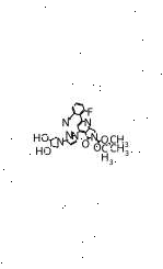 CC(C)(C)OC(=O)N1Cc2nc(-c3c(F)cccc3C#N)cc(-n3ccc(N4C[C@@H](O)[C@@H](O)C4)n3)c2C1=O